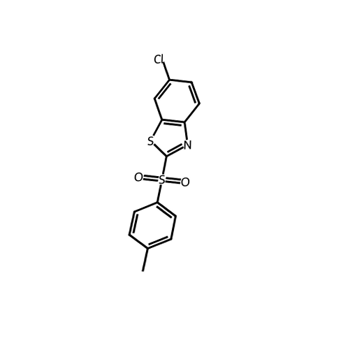 Cc1ccc(S(=O)(=O)c2nc3ccc(Cl)cc3s2)cc1